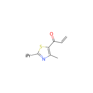 C=CC(=O)c1sc(C(C)C)nc1C